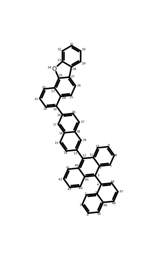 c1ccc2c(-c3c4ccccc4c(-c4ccc5cc(-c6cccc7c6ccc6c8ccccc8oc76)ccc5c4)c4ccccc34)cccc2c1